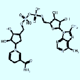 Cc1ncnc2c1nc(C)n2C1OC(COP(=O)(O)OP(=O)(O)OCC2CC(N3C=CCC(C(N)=O)=C3)C(O)C2O)C(O)C1O